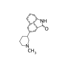 CN1CCCC(c2cc3c4c(cccc4c2)NC3=O)C1